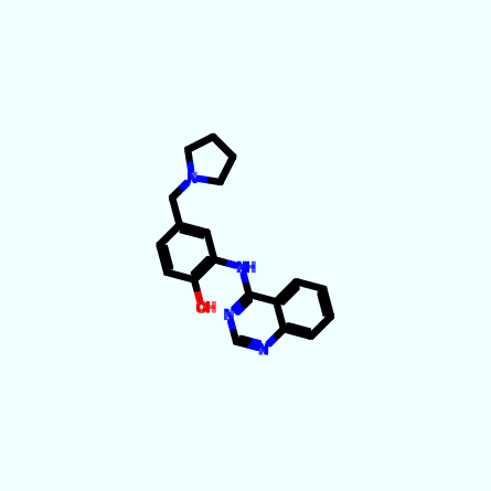 Oc1ccc(CN2CCCC2)cc1Nc1ncnc2ccccc12